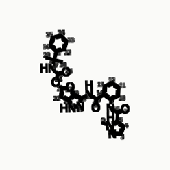 Cn1nccc1C(=O)Nc1ccccc1C(=O)Nc1n[nH]c2cc(OC(=O)NC(C)(C)c3ccccc3)oc12